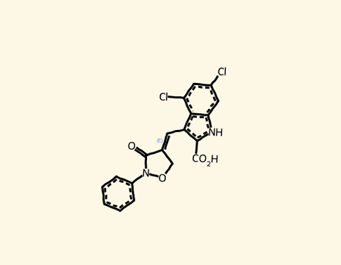 O=C(O)c1[nH]c2cc(Cl)cc(Cl)c2c1/C=C1\CON(c2ccccc2)C1=O